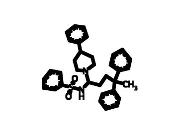 CC(CCC(NS(=O)(=O)c1ccccc1)N1CCC(c2ccccc2)CC1)(c1ccccc1)c1ccccc1